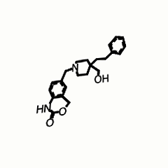 O=C1Nc2ccc(CN3CCC(CO)(CCc4ccccc4)CC3)cc2CO1